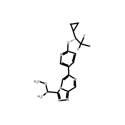 CO[C@H](C)c1nnc2cnc(-c3ccc(O[C@H](C4CC4)C(F)(F)F)nc3)cn12